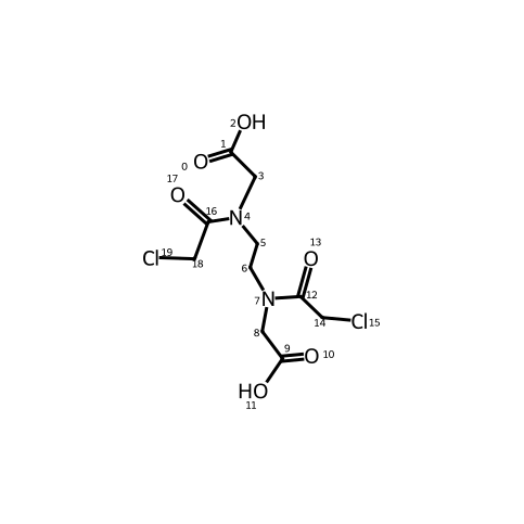 O=C(O)CN(CCN(CC(=O)O)C(=O)CCl)C(=O)CCl